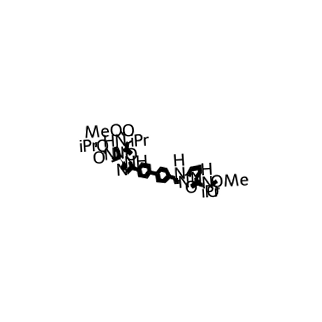 COC(=O)NC(C(=O)N1CC=C[C@H]1c1ncc(-c2ccc(-c3ccc(-c4cnc([C@@H]5CN(C(=O)OC(C)C)CN5C(=O)[C@@H](NC(=O)OC)C(C)C)[nH]4)cc3)cc2)[nH]1)C(C)C